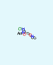 C[As](C)CCNC(=O)C(=Cc1ccc(Cl)cc1)c1ccc(OCc2ccc3ccccc3n2)cc1